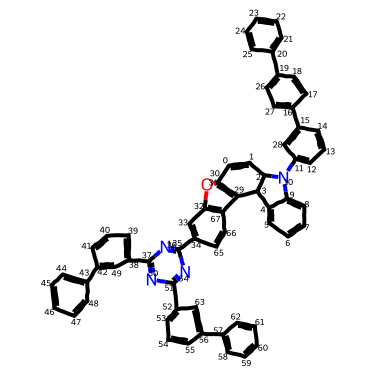 C1=CC2C(c3ccccc3N2c2cccc(-c3ccc(-c4ccccc4)cc3)c2)c2c1oc1cc(-c3nc(-c4cccc(-c5ccccc5)c4)nc(-c4cccc(-c5ccccc5)c4)n3)ccc21